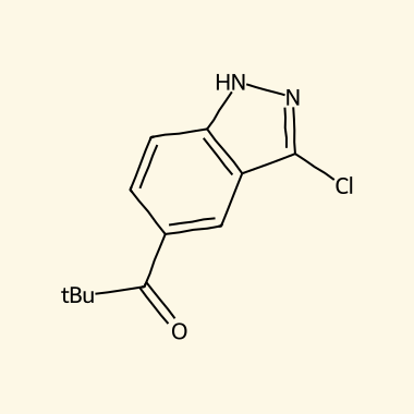 CC(C)(C)C(=O)c1ccc2[nH]nc(Cl)c2c1